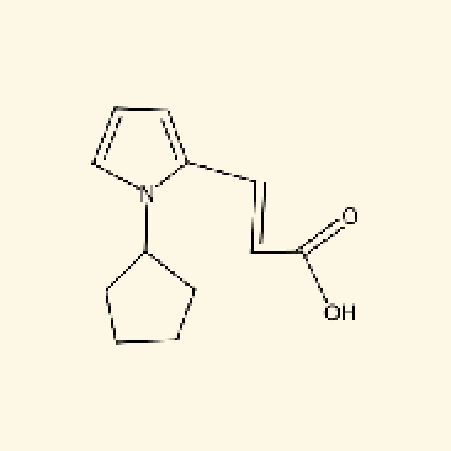 O=C(O)/C=C/c1cccn1C1CCCC1